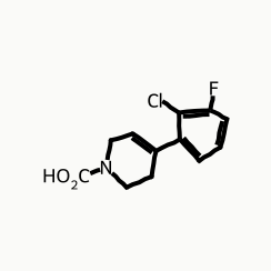 O=C(O)N1CC=C(c2cccc(F)c2Cl)CC1